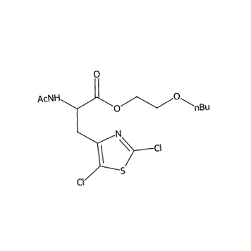 CCCCOCCOC(=O)C(Cc1nc(Cl)sc1Cl)NC(C)=O